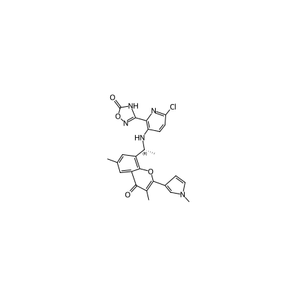 Cc1cc([C@@H](C)Nc2ccc(Cl)nc2-c2noc(=O)[nH]2)c2oc(-c3ccn(C)c3)c(C)c(=O)c2c1